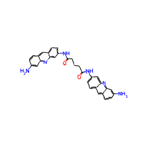 Nc1ccc2cc3ccc(NC(=O)CCCC(=O)Nc4ccc5cc6ccc(N)cc6nc5c4)cc3nc2c1